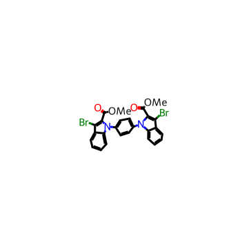 COC(=O)c1c(Br)c2ccccc2n1-c1ccc(-n2c(C(=O)OC)c(Br)c3ccccc32)cc1